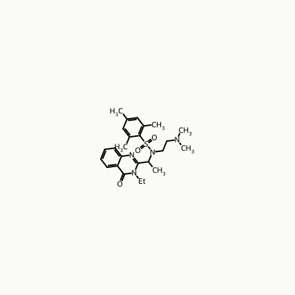 CCn1c(C(C)N(CCN(C)C)S(=O)(=O)c2c(C)cc(C)cc2C)nc2ccccc2c1=O